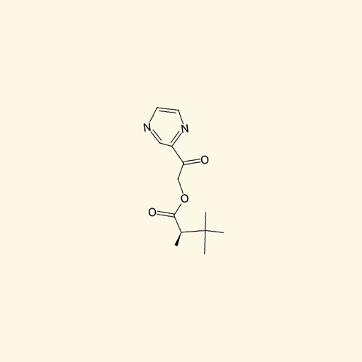 C[C@@H](C(=O)OCC(=O)c1cnccn1)C(C)(C)C